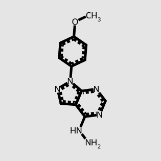 COc1ccc(-n2ncc3c(NN)ncnc32)cc1